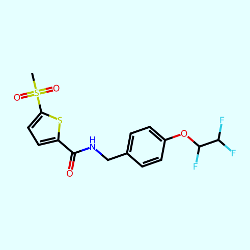 CS(=O)(=O)c1ccc(C(=O)NCc2ccc(OC(F)C(F)F)cc2)s1